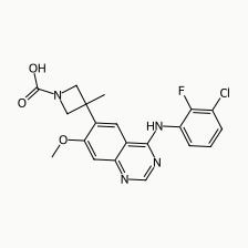 COc1cc2ncnc(Nc3cccc(Cl)c3F)c2cc1C1(C)CN(C(=O)O)C1